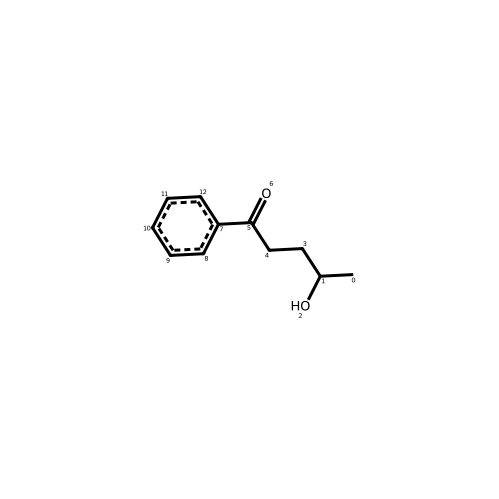 CC(O)CCC(=O)c1ccccc1